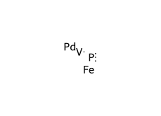 [Fe].[P].[Pd].[V]